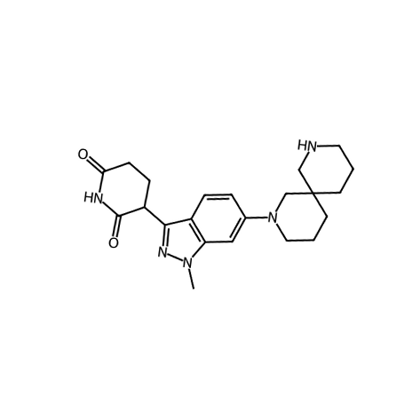 Cn1nc(C2CCC(=O)NC2=O)c2ccc(N3CCCC4(CCCNC4)C3)cc21